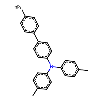 CCCc1ccc(-c2ccc(N(c3ccc(C)cc3)c3ccc(C)cc3)cc2)cc1